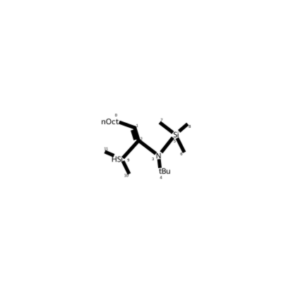 CCCCCCCCC=C(N(C(C)(C)C)[Si](C)(C)C)[SiH](C)C